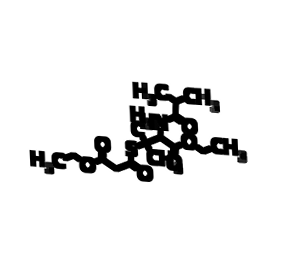 CCOC(=O)CC(=O)SC(C)(C)C(NC(=O)C(C)C)C(=O)OCC